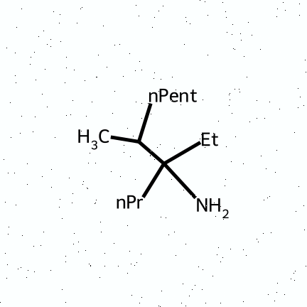 CCCCCC(C)C(N)(CC)CCC